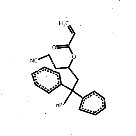 C=CC(=O)OC(CCC#N)CC(CCC)(c1ccccc1)c1ccccc1